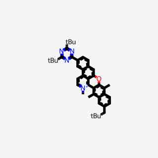 Cc1c2c(c(C)c3cc(CC(C)(C)C)ccc13)-c1c3c(cc4ccc(-c5nc(C(C)(C)C)nc(C(C)(C)C)n5)cc4c3cc[n+]1C)O2